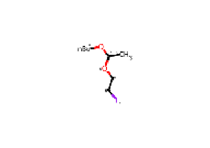 CCCCOC(C)OCCI